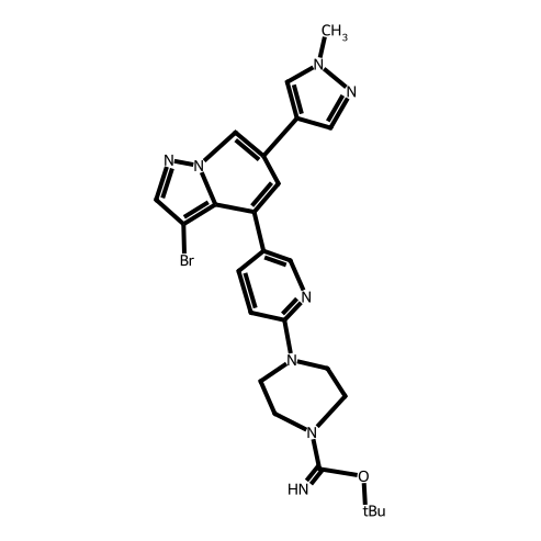 Cn1cc(-c2cc(-c3ccc(N4CCN(C(=N)OC(C)(C)C)CC4)nc3)c3c(Br)cnn3c2)cn1